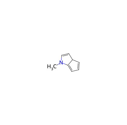 CN1C=CC2C=CC=C21